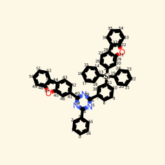 c1ccc(-c2nc(-c3cccc([Si](c4ccccc4)(c4ccccc4)c4ccc5c(c4)oc4ccccc45)c3)nc(-c3ccc4c(c3)oc3ccccc34)n2)cc1